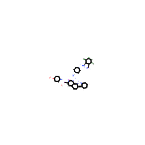 COc1ccc(NC(=O)c2cc3ccc4c5ccccc5[nH]c4c3c(N=Nc3ccc(N=C4NC(O)c5c(Cl)c(Cl)c(Cl)c(Cl)c54)cc3)c2O)c(C)c1